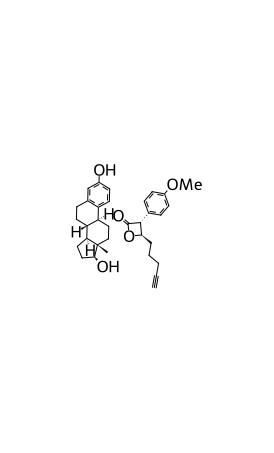 C#CCCC[C@H]1OC(=O)[C@@H]1c1ccc(OC)cc1.C[C@]12CC[C@@H]3c4ccc(O)cc4CC[C@H]3[C@@H]1CC[C@@H]2O